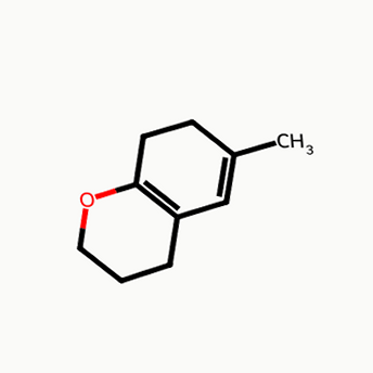 CC1=CC2=C(CC1)OCCC2